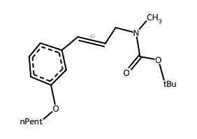 CCCCCOc1cccc(/C=C/CN(C)C(=O)OC(C)(C)C)c1